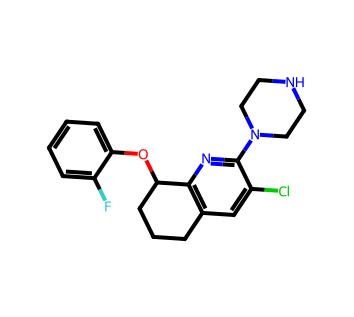 Fc1ccccc1OC1CCCc2cc(Cl)c(N3CCNCC3)nc21